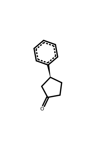 O=C1CC[C@H](c2ccccc2)C1